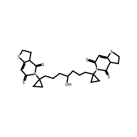 OC(CCCC1(N2C(=S)C=C3SCCC3C2=S)CC1)CCCC1(N2C(=S)C=C3SCCC3C2=S)CC1